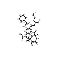 CCCCC(CC)COC(=O)C(CC(ON1C(C)(CC)CC(=O)C(C)C1(C)CC)C(=O)N(C)C)CC(C)c1ccccc1